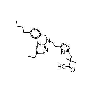 CCCCc1ccc(CN(CCc2csc(SC(C)(C)C(=O)O)n2)c2ncc(CC)cn2)cc1